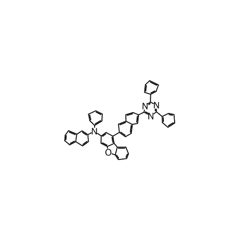 c1ccc(-c2nc(-c3ccccc3)nc(-c3ccc4cc(-c5cc(N(c6ccccc6)c6ccc7ccccc7c6)cc6oc7ccccc7c56)ccc4c3)n2)cc1